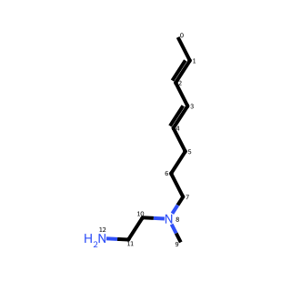 CC=CC=CCCCN(C)CCN